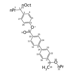 CCCCCCCCC(CCC)c1ccc(OC(=O)c2ccc(-c3ccc(C(C)OCCC)cc3)cc2)cc1